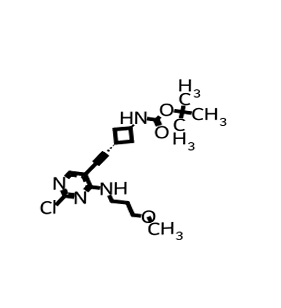 COCCCNc1nc(Cl)ncc1C#C[C@H]1C[C@@H](NC(=O)OC(C)(C)C)C1